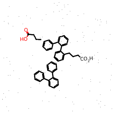 CCCC(=O)O.O=C(O)CCCc1ccccc1-c1ccccc1-c1ccccc1.c1ccc(-c2ccccc2-c2ccccc2)cc1